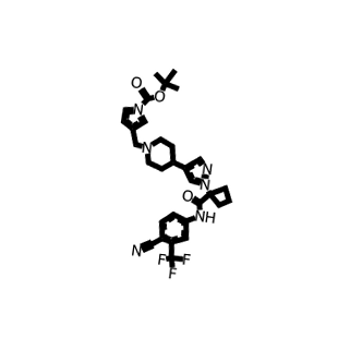 CC(C)(C)OC(=O)n1ccc(CN2CCC(c3cnn(C4(C(=O)Nc5ccc(C#N)c(C(F)(F)F)c5)CCC4)c3)CC2)c1